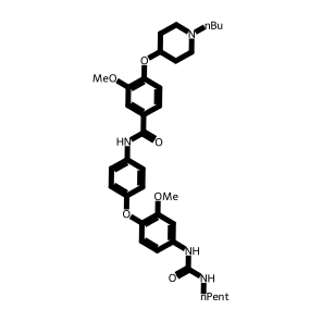 CCCCCNC(=O)Nc1ccc(Oc2ccc(NC(=O)c3ccc(OC4CCN(CCCC)CC4)c(OC)c3)cc2)c(OC)c1